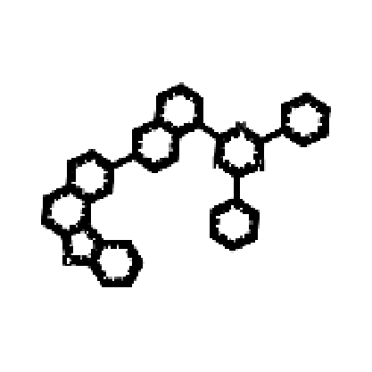 c1ccc(-c2nc(-c3ccccc3)nc(-c3cccc4cc(-c5ccc6ccc7oc8ccccc8c7c6c5)ccc34)n2)cc1